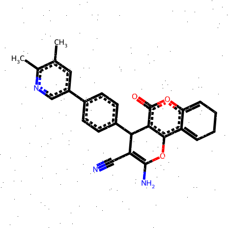 Cc1cc(-c2ccc(C3C(C#N)=C(N)Oc4c3c(=O)oc3c4=CCCC=3)cc2)cnc1C